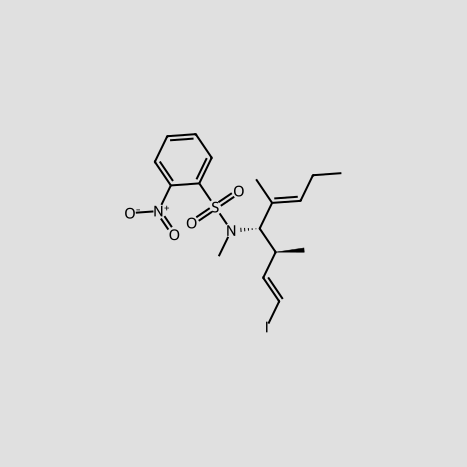 CC/C=C(\C)[C@H]([C@@H](C)/C=C/I)N(C)S(=O)(=O)c1ccccc1[N+](=O)[O-]